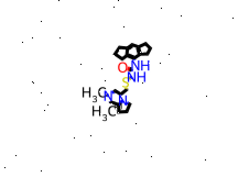 CN1CC(CSNC(=O)Nc2c3c(cc4c2CCC4)CCC3)N2CCC[C@@]2(C)C1